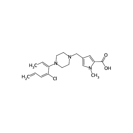 C=C/C=C(Cl)\C(=C/C)N1CCN(Cc2cc(C(=O)O)n(C)c2)CC1